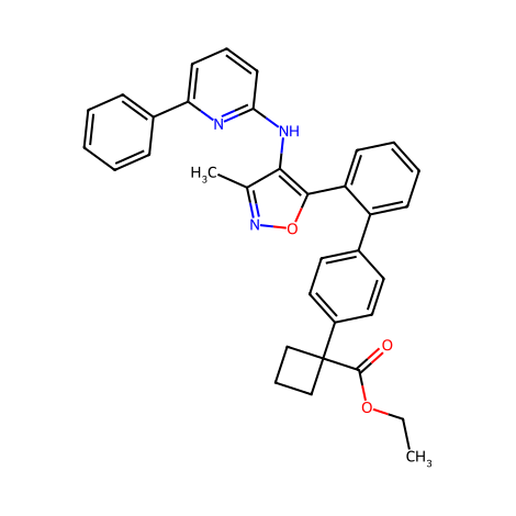 CCOC(=O)C1(c2ccc(-c3ccccc3-c3onc(C)c3Nc3cccc(-c4ccccc4)n3)cc2)CCC1